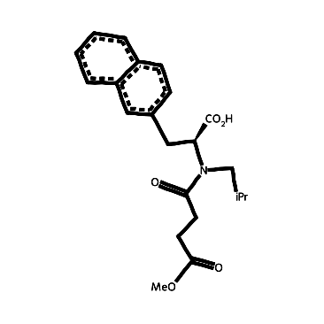 COC(=O)CCC(=O)N(CC(C)C)[C@@H](Cc1ccc2ccccc2c1)C(=O)O